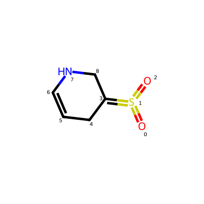 O=S(=O)=C1CC=CNC1